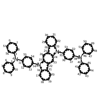 c1ccc(N(c2ccccc2)c2ccc(-n3c4ccccc4c4cc5c(cc43)c3ccccc3n5-c3ccc(N(c4ccccc4)c4ccccc4)cc3)cc2)cc1